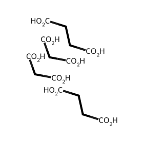 O=C(O)CC(=O)O.O=C(O)CC(=O)O.O=C(O)CCC(=O)O.O=C(O)CCC(=O)O